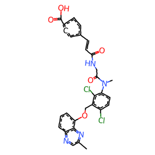 Cc1cnc2cccc(OCc3c(Cl)ccc(N(C)C(=O)CNC(=O)/C=C/c4ccc(C(=O)O)cc4)c3Cl)c2n1